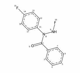 O=C(c1ccccc1)N(NF)c1ccc(F)cc1